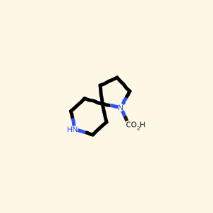 O=C(O)N1CCCC12CCNCC2